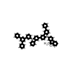 CC1(C)c2ccccc2-c2ccc(-n3c4ccc(-c5ccccc5)cc4c4cc(-c5ccc6c(c5)c5ccccc5n6-c5cccc(-c6cc(-c7ccccc7)cc(-c7ccccc7)c6)c5)ccc43)cc21